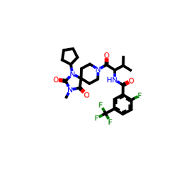 CC(C)C(NC(=O)c1cc(C(F)(F)F)ccc1F)C(=O)N1CCC2(CC1)C(=O)N(C)C(=O)N2C1CCCC1